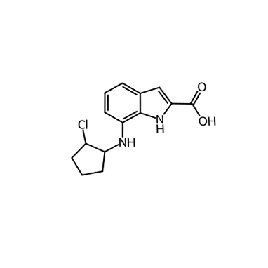 O=C(O)c1cc2cccc(NC3CCCC3Cl)c2[nH]1